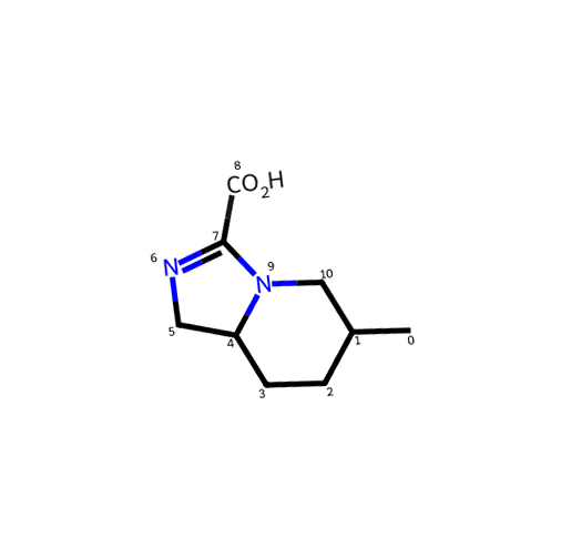 CC1CCC2CN=C(C(=O)O)N2C1